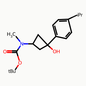 CC(C)c1ccc(C2(O)CC(N(C)C(=O)OC(C)(C)C)C2)cc1